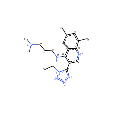 CCn1nnnc1-c1cnc2c(C)cc(C)cc2c1NCCCN(C)C